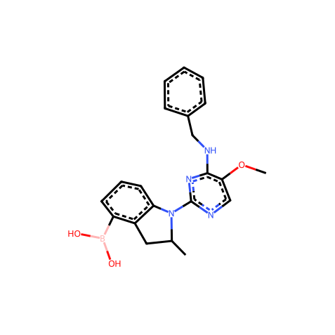 COc1cnc(N2c3cccc(B(O)O)c3CC2C)nc1NCc1ccccc1